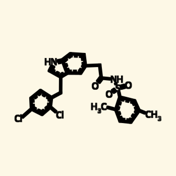 Cc1ccc(C)c(S(=O)(=O)NC(=O)Cc2ccc3[nH]cc(Cc4ccc(Cl)cc4Cl)c3c2)c1